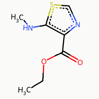 CCOC(=O)c1ncsc1NC